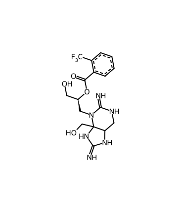 N=C1NC2CNC(=N)N(C[C@@H](CO)OC(=O)c3ccccc3C(F)(F)F)C2(CO)N1